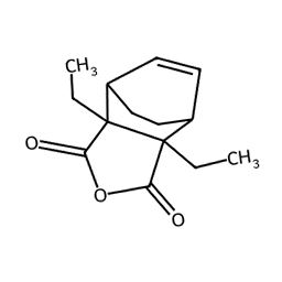 CCC12C(=O)OC(=O)C1(CC)C1C=CC2CC1